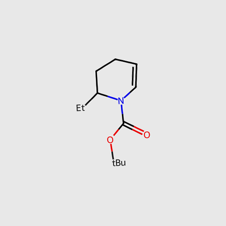 CCC1CCC=CN1C(=O)OC(C)(C)C